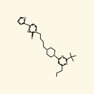 CCCc1cc(N2CCN(CCCCn3ccc(-c4ccco4)nc3=O)CC2)nc(C(C)(C)C)n1